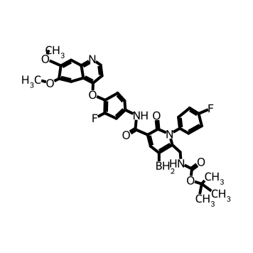 Bc1cc(C(=O)Nc2ccc(Oc3ccnc4cc(OC)c(OC)cc34)c(F)c2)c(=O)n(-c2ccc(F)cc2)c1CNC(=O)OC(C)(C)C